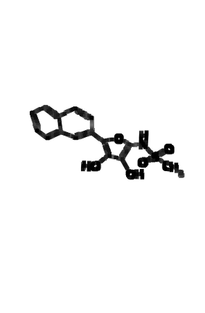 CS(=O)(=O)Nc1oc(-c2ccc3ccccc3c2)c(O)c1O